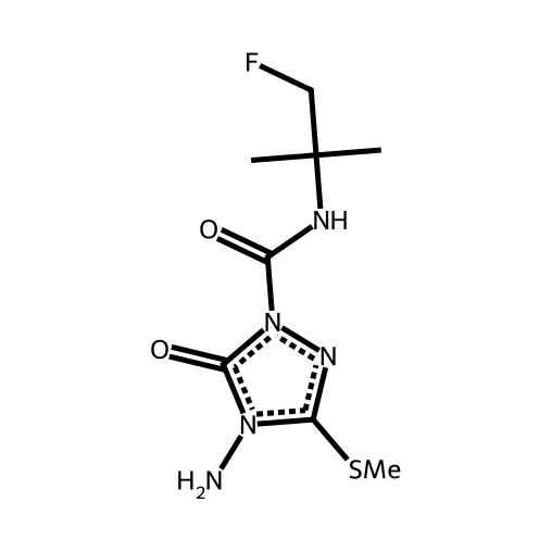 CSc1nn(C(=O)NC(C)(C)CF)c(=O)n1N